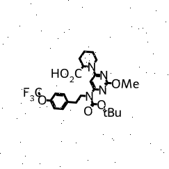 COc1nc(N(CCc2ccc(OC(F)(F)F)cc2)C(=O)OC(C)(C)C)cc(N2CCCCC2C(=O)O)n1